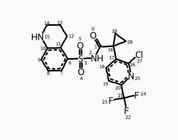 O=C(NS(=O)(=O)c1cccc2c1CCCN2)C1(c2ccc(C(F)(F)F)nc2Cl)CC1